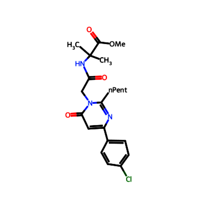 CCCCCc1nc(-c2ccc(Cl)cc2)cc(=O)n1CC(=O)NC(C)(C)C(=O)OC